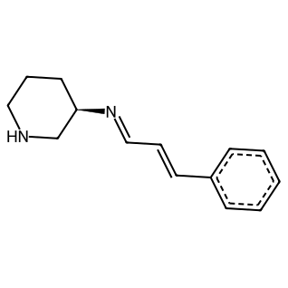 C(=Cc1ccccc1)C=N[C@@H]1CCCNC1